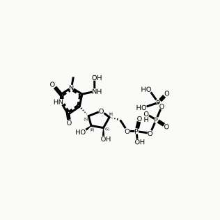 Cn1c(NO)c([C@@H]2O[C@H](COP(=O)(O)OP(=O)(O)OP(=O)(O)O)[C@@H](O)[C@H]2O)c(=O)[nH]c1=O